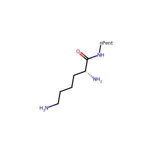 CCCCCNC(=O)[C@H](N)CCCCN